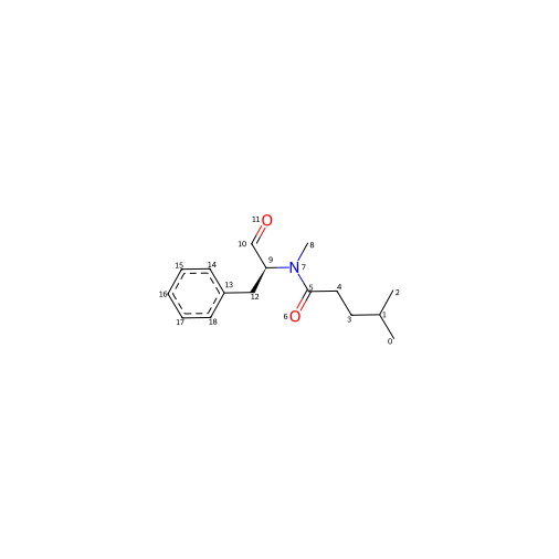 CC(C)CCC(=O)N(C)[C@H](C=O)Cc1ccccc1